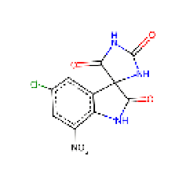 O=C1NC(=O)C2(N1)C(=O)Nc1c([N+](=O)[O-])cc(Cl)cc12